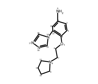 Nc1ccc(OCCN2CCCC2)c(-n2cnnc2)c1